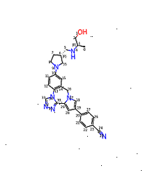 C[C@H](CO)NC[C@H]1CCN(c2ccc3c(c2)Cn2cc(-c4ccc(C#N)cc4)cc2-c2nncn2-3)C1